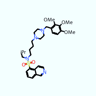 COc1ccc(CN2CCN(CCCCN(CC(C)C)S(=O)(=O)c3cccc4cnccc34)CC2)c(OC)c1OC